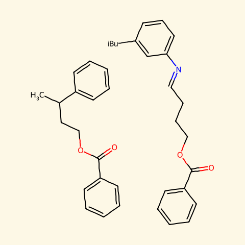 CC(CCOC(=O)c1ccccc1)c1ccccc1.CCC(C)c1cccc(N=CCCCOC(=O)c2ccccc2)c1